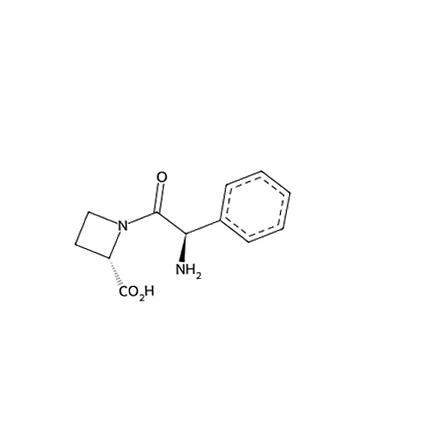 N[C@@H](C(=O)N1CC[C@H]1C(=O)O)c1ccccc1